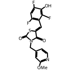 COc1cc(CN2C(=O)SC(=Cc3c(F)cc(F)c(O)c3F)C2=O)ccn1